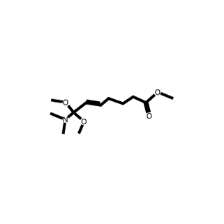 COC(=O)CCC/C=C/C(OC)(OC)N(C)C